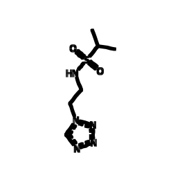 CC(C)S(=O)(=O)NCCn1cnnn1